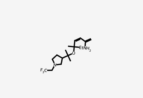 C=C(N)/C=C\C(C)(CC)OC(C)(C)C1CCN(CC(F)(F)F)C1